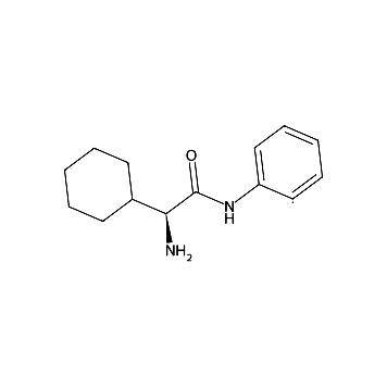 N[C@H](C(=O)Nc1[c]cccc1)C1CCCCC1